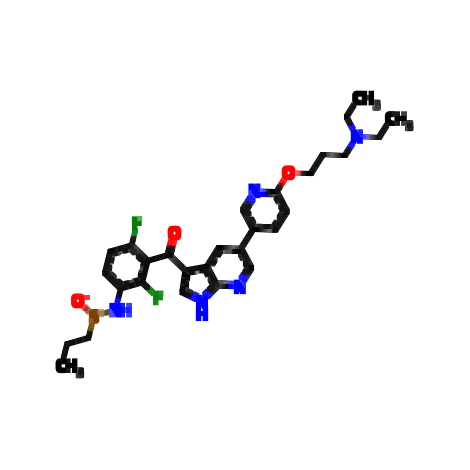 CCC[S+]([O-])Nc1ccc(F)c(C(=O)c2c[nH]c3ncc(-c4ccc(OCCCN(CC)CC)nc4)cc23)c1F